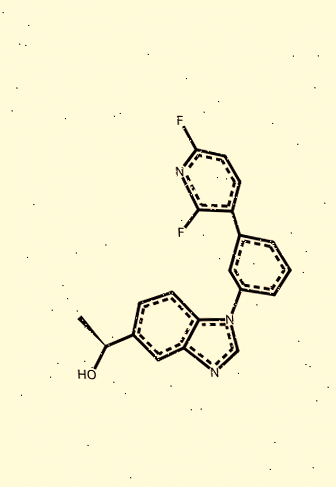 C[C@H](O)c1ccc2c(c1)ncn2-c1cccc(-c2ccc(F)nc2F)c1